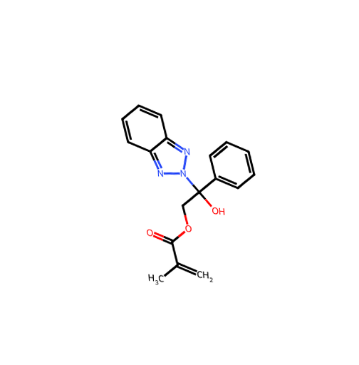 C=C(C)C(=O)OCC(O)(c1ccccc1)n1nc2ccccc2n1